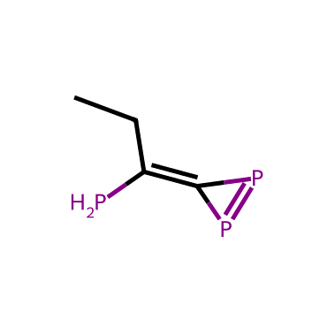 CCC(P)=C1P=P1